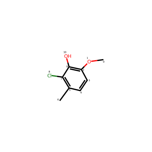 COc1ccc(C)c(Cl)c1O